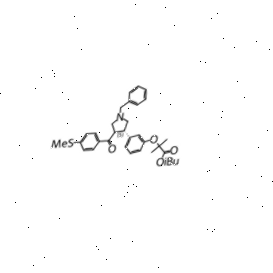 CSc1ccc(C(=O)C2CN(Cc3ccccc3)C[C@@H]2c2cccc(OC(C)(C)C(=O)OCC(C)C)c2)cc1